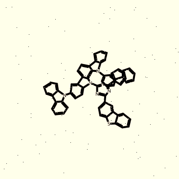 c1ccc(-c2cccc(-n3c4ccccc4c4ccc5c6cc(-n7c8ccccc8c8ccccc87)ccc6n(-c6nc(-c7ccccc7)nc(-c7ccc8sc9ccccc9c8c7)n6)c5c43)c2)cc1